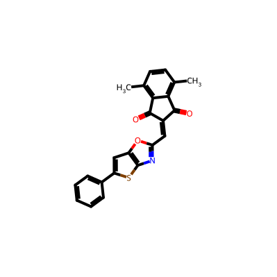 Cc1ccc(C)c2c1C(=O)C(=Cc1nc3sc(-c4ccccc4)cc3o1)C2=O